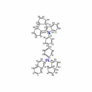 c1ccc2cc(N(c3ccc(-c4ccc(-n5c6ccccc6c6c7ccccc7c7ccccc7c65)cc4)cc3)c3cccc4ccccc34)ccc2c1